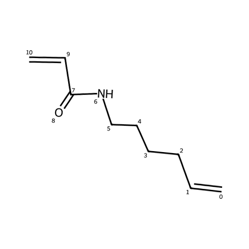 C=CCCCCNC(=O)C=C